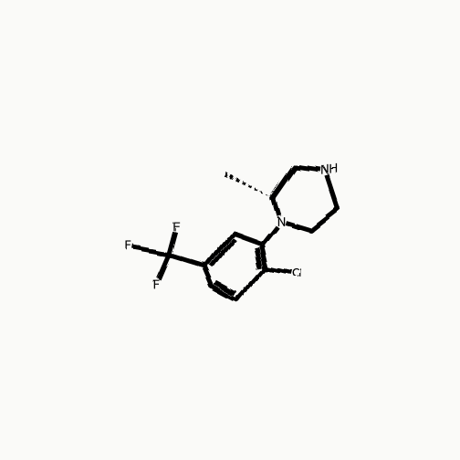 C[C@@H]1CNCCN1c1cc(C(F)(F)F)ccc1Cl